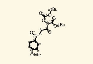 COc1ccc([S+]([O-])CCC(=O)N(OC(=O)OC(C)(C)C)C(=O)OC(C)(C)C)cc1